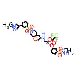 CNS(=O)(=O)c1cccc(OC[C@H](CNC2COC3(CCN(S(=O)(=O)c4cccc(-c5cnn(C)c5)c4)CC3)C2)OC(=O)C(F)(F)F)c1